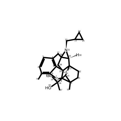 Cc1ccc2c3c1OC1C4(C)CCC5(CC4C(C)(O)C(C)(C)C)[C@@H]4[N@](CC6CC6)C4(C2)C[C@]315